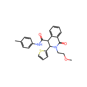 COCCN1C(=O)c2ccccc2C(C(=O)Nc2ccc(C)cc2)C1c1cccs1